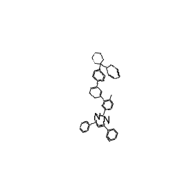 Cc1ccc(-c2nc(-c3ccccc3)cc(-c3ccccc3)n2)cc1C1=CC(c2ccc(C3(C4C=CC=CC4)CCCCC3)cc2)=CCC1